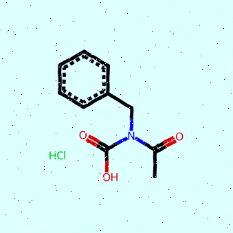 CC(=O)N(Cc1ccccc1)C(=O)O.Cl